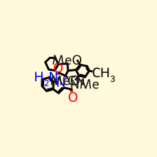 CNC(=O)c1cc2ccccc2n1C(C#N)(C(N)=O)C(CC1CCCCC1)c1c(OC)cc(C)cc1OC